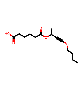 CCCCOC#CC(C)OC(=O)CCCCC(=O)O